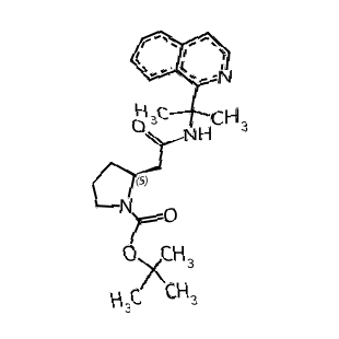 CC(C)(C)OC(=O)N1CCC[C@H]1CC(=O)NC(C)(C)c1nccc2ccccc12